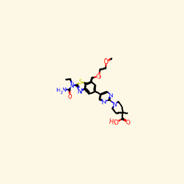 CCN(C(N)=O)c1nc2cc(-c3cnc(N4CCC(C)(C(=O)O)CC4)nc3)cc(COCCOC)c2s1